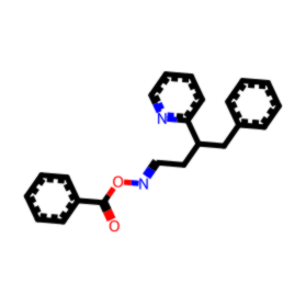 O=C(ON=CCC(Cc1ccccc1)c1ccccn1)c1ccccc1